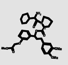 COC(=O)COc1cccc(C(CCc2ccc(OC)c(OC)c2)OC(=O)[C@@H]2CCCCN2C(=O)C(N)C2CCCCC2)c1